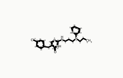 CCCN(CCCNc1ncc(Cc2ccc(Cl)cc2)c(=O)[nH]1)c1ccccn1